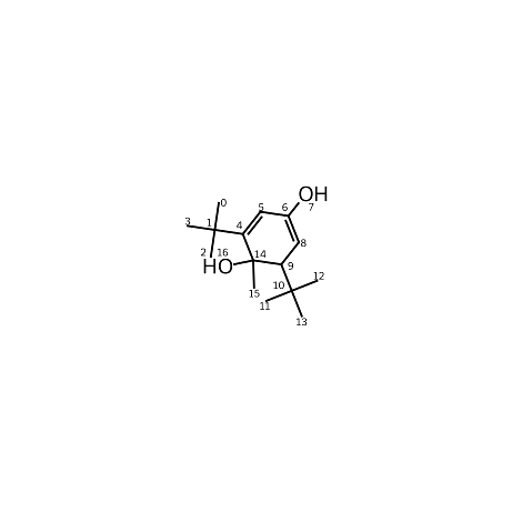 CC(C)(C)C1=CC(O)=CC(C(C)(C)C)C1(C)O